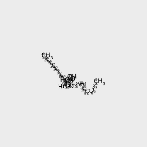 CCCCC/C=C\C/C=C\C/C=C\C/C=C\CCCCO[C@@H](CO)C(OP(=O)(O)O)C(=O)CCCCCCCCCCCCCCCCC